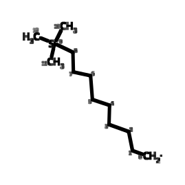 [CH2]CCCCCCCC[Si](C)(C)C